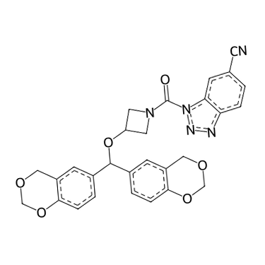 N#Cc1ccc2nnn(C(=O)N3CC(OC(c4ccc5c(c4)COCO5)c4ccc5c(c4)COCO5)C3)c2c1